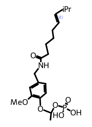 COc1cc(CNC(=O)CCCC/C=C/C(C)C)ccc1OC(C)OP(=O)(O)O